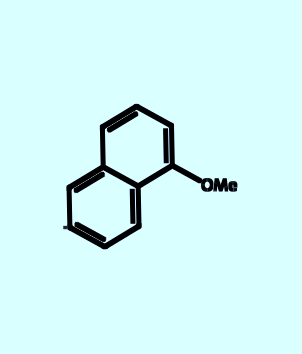 COc1cccc2c[c]ccc12